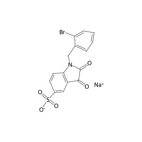 O=C1C(=O)N(Cc2ccccc2Br)c2ccc(S(=O)(=O)[O-])cc21.[Na+]